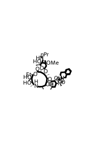 CCCNC[C@]1(O)[C@H](C)O[C@@H](O[C@H]2[C@H](C)[C@@H](O[C@@H]3O[C@H](C)C[C@H](N(C)S(=O)(=O)N4CCc5ccccc5C4)[C@H]3O)[C@](C)(O)C[C@@H](C)CN[C@H](C)[C@@H](O)[C@](C)(O)[C@@H](CC)OC(=O)[C@@H]2C)C[C@@]1(C)OC